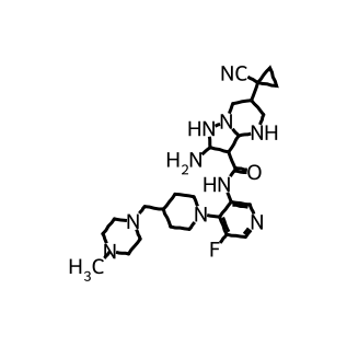 CN1CCN(CC2CCN(c3c(F)cncc3NC(=O)C3C(N)NN4CC(C5(C#N)CC5)CNC34)CC2)CC1